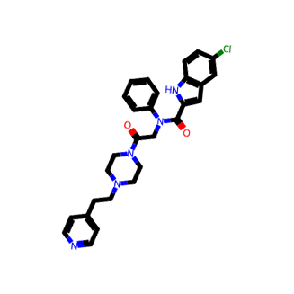 O=C(CN(C(=O)c1cc2cc(Cl)ccc2[nH]1)c1ccccc1)N1CCN(CCc2ccncc2)CC1